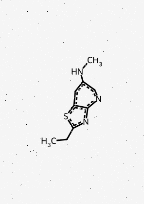 CCc1nc2ncc(NC)cc2s1